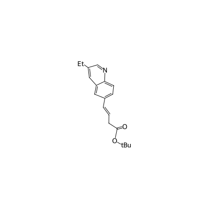 CCc1cnc2ccc(/C=C/CC(=O)OC(C)(C)C)cc2c1